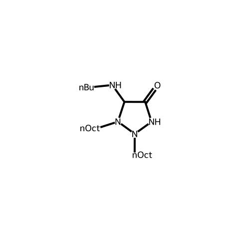 CCCCCCCCN1NC(=O)C(NCCCC)N1CCCCCCCC